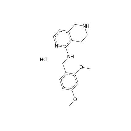 COc1ccc(CNc2nccc3c2CCNC3)c(OC)c1.Cl